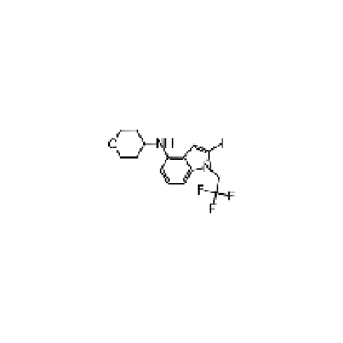 FC(F)(F)Cn1c(I)cc2c(NC3CCOCC3)cccc21